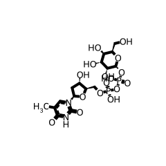 Cc1cn([C@H]2C[C@H](O)[C@@H](COP(=O)(O)OP(=O)(O)O[C@H]3O[C@H](CO)[C@H](O)[C@@H](O)[C@H]3O)O2)c(=O)[nH]c1=O